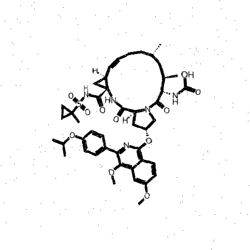 COc1ccc2c(O[C@@H]3C[C@H]4C(=O)N[C@]5(C(=O)NS(=O)(=O)C6(C)CC6)C[C@H]5C=CCC[C@H](C)C[C@@H](C)[C@H](NC(=O)O)C(=O)N4C3)nc(-c3ccc(OC(C)C)cc3)c(OC)c2c1